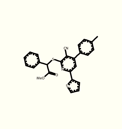 COC(=O)C(Sc1nc(-c2cccs2)cc(-c2ccc(C)cc2)c1C#N)c1ccccc1